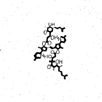 C=C(C)CCC[C@H](C)[C@H](O)[C@@H](C)C(=O)C(C)(C)[C@@H](O)CC(=O)O[C@@H]1C(C)=C(c2ccc(C)cn2)CC1C=C[C@@H]1CC(c2ccc(C)cn2)=C(C)[C@H]1OC(=O)C[C@H](O)C1=C[C@@H](CCCC(=C)C)[C@H](O)[C@@H](C)C1=O